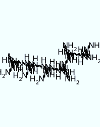 CCCNc1nc(CNCCNc2nc(NCCN)nc(NCCCNc3nc(NCCN)nc(NCCNc4nc(NCCN)nc(NCCNc5nc(CCCNc6nc(N)nc(NCCN)n6)nc(NCCN)n5)n4)n3)n2)nc(NCCN)n1